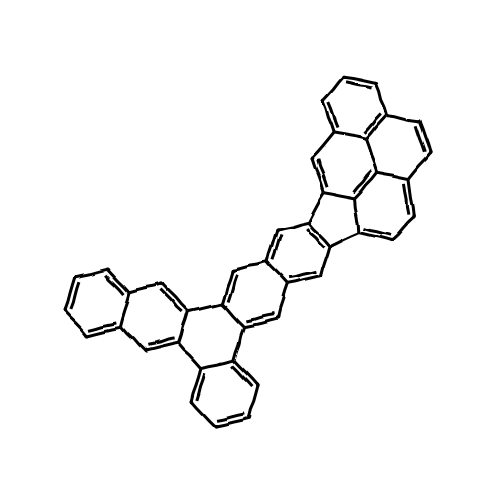 c1ccc2cc3c(cc2c1)c1ccccc1c1cc2cc4c(cc2cc13)-c1cc2cccc3ccc5ccc-4c1c5c32